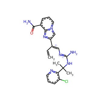 C=C/C(=C\N=C(/N)NC(C)(C)c1ncccc1Cl)c1cn2cccc(C(N)=O)c2n1